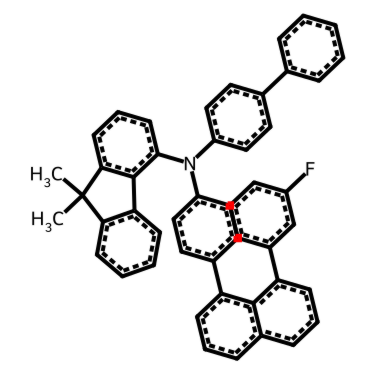 CC1(C)c2ccccc2-c2c(N(c3ccc(-c4ccccc4)cc3)c3ccc(-c4cccc5cccc(-c6cccc(F)c6)c45)cc3)cccc21